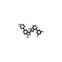 Cc1cc(F)cc(-c2nccc3[nH]c(-c4n[nH]c5cnc(C6CCNCC6)cc45)cc23)c1